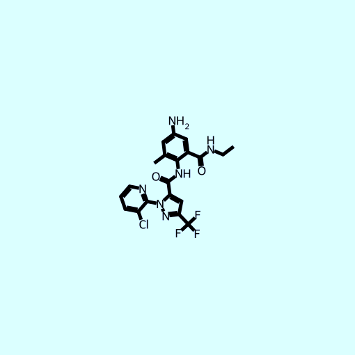 CCNC(=O)c1cc(N)cc(C)c1NC(=O)c1cc(C(F)(F)F)nn1-c1ncccc1Cl